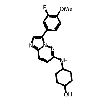 COc1ccc(-c2cnc3ccc(NC4CCC(O)CC4)nn23)cc1F